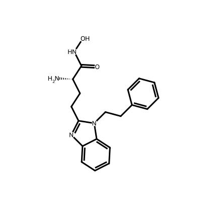 N[C@@H](CCc1nc2ccccc2n1CCc1ccccc1)C(=O)NO